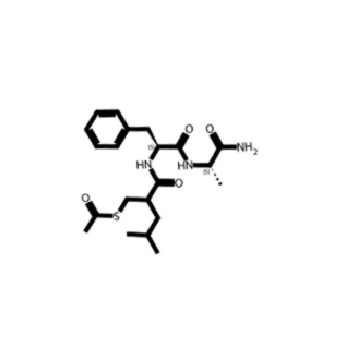 CC(=O)SCC(CC(C)C)C(=O)N[C@@H](Cc1ccccc1)C(=O)N[C@@H](C)C(N)=O